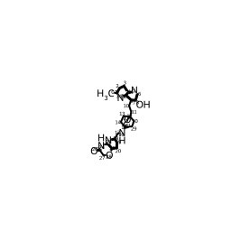 Cc1ccc2ncc(O)c(CCC34CCC(NCc5ccc6c(n5)NC(=O)CO6)(CC3)CO4)c2n1